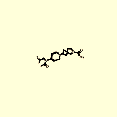 CC(=O)N(CC(F)F)C1CCN(C2CC3(CCN(C(=O)O)C3)C2)CC1